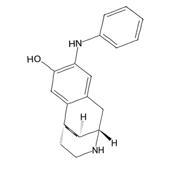 Oc1cc2c(cc1Nc1ccccc1)C[C@@H]1NCC[C@]23CCCC[C@H]13